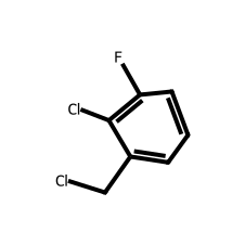 Fc1cccc(CCl)c1Cl